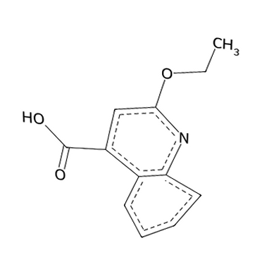 CCOc1cc(C(=O)O)c2ccccc2n1